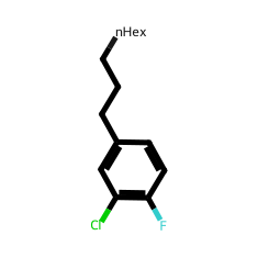 CCCCCCCCCc1ccc(F)c(Cl)c1